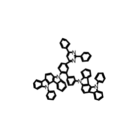 c1ccc(-c2cc(-c3ccc(-n4c5ccccc5c5c4ccc4c6ccccc6n(-c6ccccc6)c45)c(-c4cccc(-n5c6ccccc6c6c5ccc5c7ccccc7n(-c7ccccc7)c56)c4)c3)nc(-c3ccccc3)n2)cc1